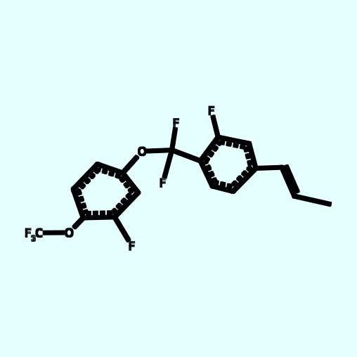 C/C=C/c1ccc(C(F)(F)Oc2ccc(OC(F)(F)F)c(F)c2)c(F)c1